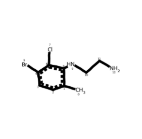 Cc1ccc(Br)c(Cl)c1NCCN